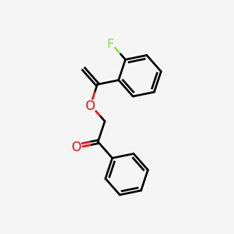 C=C(OCC(=O)c1ccccc1)c1ccccc1F